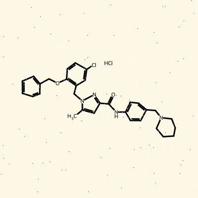 Cc1cc(C(=O)Nc2ccc(CN3CCCCC3)cc2)nn1Cc1cc(Cl)ccc1OCc1ccccc1.Cl